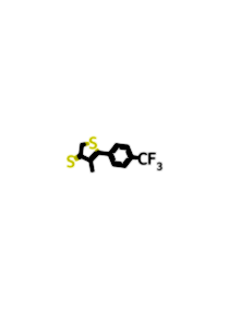 CC1=C(c2ccc(C(F)(F)F)cc2)SCC1=S